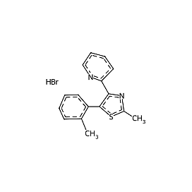 Br.Cc1nc(-c2ccccn2)c(-c2ccccc2C)s1